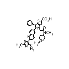 Cc1nc(C)c(-c2ccc3cc(-c4c(-c5ccccc5)c5sc(C(=O)O)cc5n4CC(=O)N(C)C4CCN(C)CC4)ccc3n2)s1